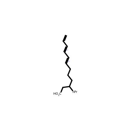 C=C/C=C/C=C/CCCC(CCC)CC(=O)O